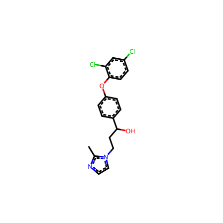 Cc1nccn1CCC(O)c1ccc(Oc2ccc(Cl)cc2Cl)cc1